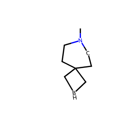 CN1CCC2(CBC2)CC1